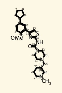 COc1ccc(C2CCCC2)cc1-c1csc(NC(=O)N2CCN(C[C@@H]3CCCN(C)C3)CC2)n1